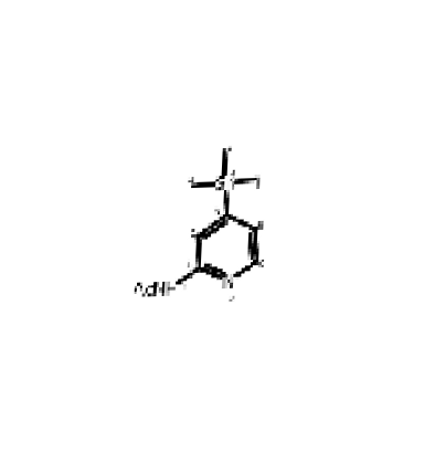 CC(=O)Nc1c[c]([Sn]([CH3])([CH3])[CH3])ccn1